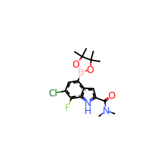 CN(C)C(=O)c1cc2c(B3OC(C)(C)C(C)(C)O3)cc(Cl)c(F)c2[nH]1